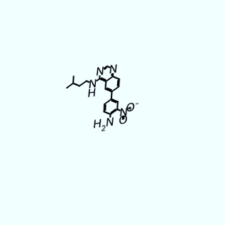 CC(C)CCNc1ncnc2ccc(-c3ccc(N)c([N+](=O)[O-])c3)cc12